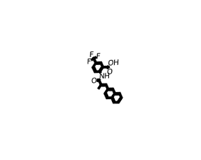 C/C(=C\c1ccc2ccccc2c1)C(=O)Nc1ccc(C(F)(F)F)cc1C(=O)O